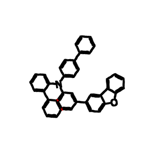 c1ccc(-c2ccc(N(c3cccc(-c4ccc5oc6ccccc6c5c4)c3)c3ccccc3-c3ccccc3)cc2)cc1